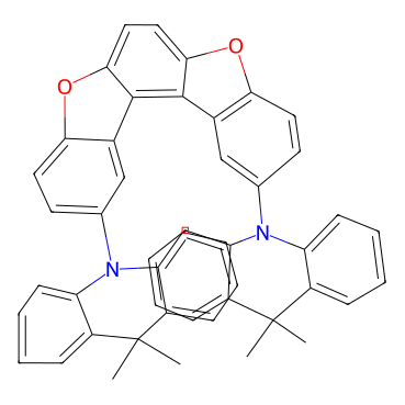 CC1(C)c2ccccc2N(c2ccc3oc4ccc5oc6ccc(N7c8ccccc8C(C)(C)c8ccccc87)cc6c5c4c3c2)c2ccccc21